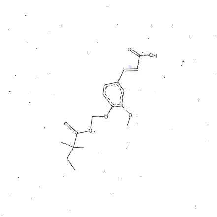 CCC(C)(C)C(=O)OCOc1ccc(/C=C/C(=O)O)cc1OC